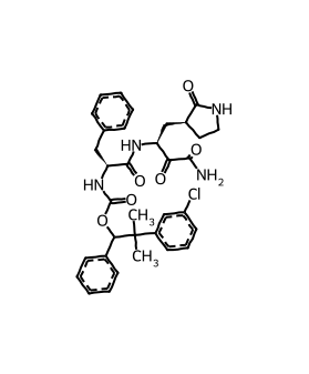 CC(C)(c1cccc(Cl)c1)C(OC(=O)N[C@@H](Cc1ccccc1)C(=O)N[C@@H](C[C@@H]1CCNC1=O)C(=O)C(N)=O)c1ccccc1